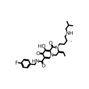 C/C=C1\Cn2cc(C(=O)NCc3ccc(F)cc3)c(=O)c(O)c2C(=O)N1CC[C@@H](C)CNCC(C)C